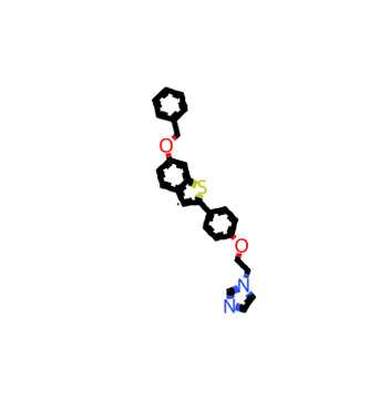 [c]1c(-c2ccc(OCCn3ccnc3)cc2)sc2cc(OCc3ccccc3)ccc12